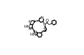 O=C(Cc1ccccc1)n1c2cncc(c2)c2cnc3[nH]nc(c4nc5c(cccc5c5ccc1s5)[nH]4)c3c2